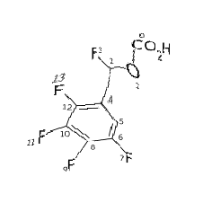 O=C(O)OC(F)c1cc(F)c(F)c(F)c1F